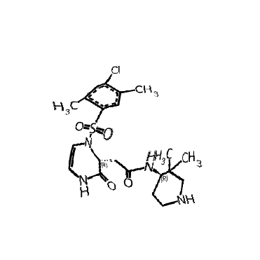 Cc1cc(S(=O)(=O)N2C=CNC(=O)[C@H]2CC(=O)N[C@@H]2CCNCC2(C)C)c(C)cc1Cl